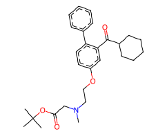 CN(CCOc1ccc(-c2ccccc2)c(C(=O)C2CCCCC2)c1)CC(=O)OC(C)(C)C